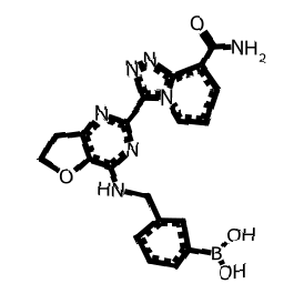 NC(=O)c1cccn2c(-c3nc4c(c(NCc5cccc(B(O)O)c5)n3)OCC4)nnc12